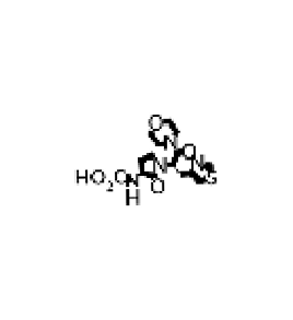 O=C(O)N[C@H]1CCN([C@@H](Cc2cscn2)C(=O)N2CCOCC2)C1=O